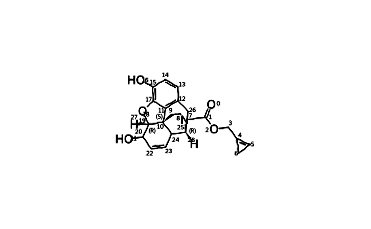 O=C(OCC1=CC1)N1CC[C@]23c4c5ccc(O)c4O[C@H]2C(O)C=CC3[C@H]1C5